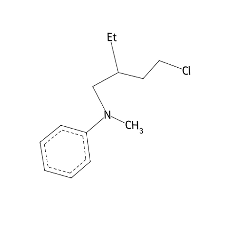 CCC(CCCl)CN(C)c1ccccc1